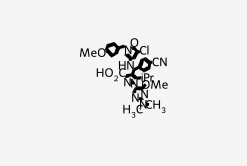 COc1ccc(Cn2cc(NC(c3ccc(C#N)cc3)c3c(C(=O)O)nn(-c4cnc(N(C)C)nc4OC)c3C(C)C)cc(Cl)c2=O)cc1